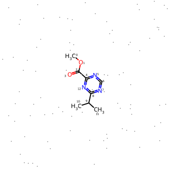 COC(=O)c1ncnc(C(C)C)n1